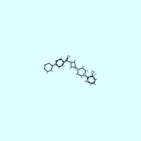 O=C(c1ccc(C2CCCCC2)cc1)N1CC(N2CCN(c3ncccc3C(F)(F)F)CC2)C1